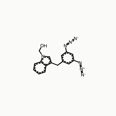 [N-]=[N+]=Nc1cc(Cc2cn(CO)c3ccccc23)cc(N=[N+]=[N-])c1